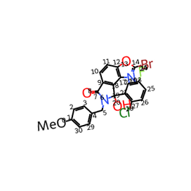 COc1ccc(CN2C(=O)c3ccc4oc(Br)nc4c3C2(O)c2cc(F)ccc2Cl)cc1